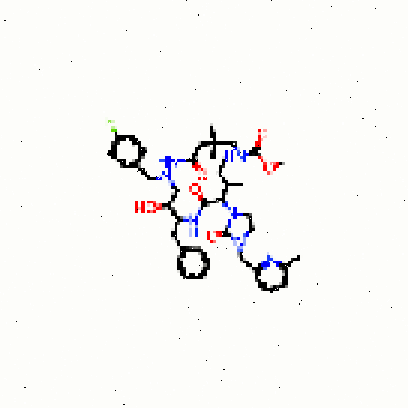 CCC(C)C(C(=O)NC(Cc1ccccc1)C(O)CN(Cc1ccc(F)cc1)NC(=O)CC(C)(C)CNC(=O)OC)N1CCN(Cc2cccc(C)n2)C1=O